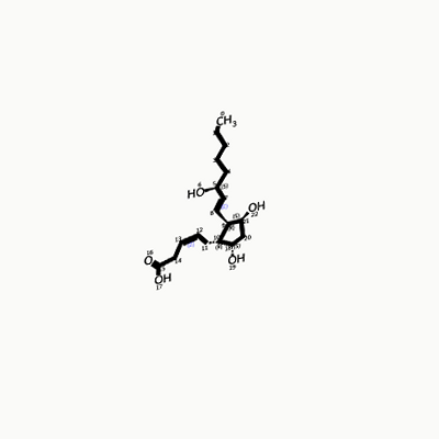 CCCCC[C@H](O)/C=C/[C@@H]1[C@@H](C/C=C\CC(=O)O)[C@@H](O)C[C@@H]1O